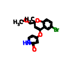 COCC1(C)C=C(Oc2cc[nH]c(=O)c2)c2cc(Br)ccc2O1